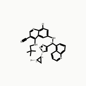 CC(C)(C)CNc1c(C#N)cnc2c(Cl)cc(N[C@H](c3cn([C@@H]4C[C@@H]4F)nn3)c3cccc4ncccc34)cc12